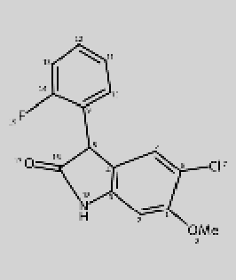 COc1cc2c(cc1Cl)C(c1ccccc1F)C(=O)N2